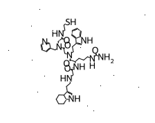 NC(=O)NCCCC(NC(=O)CNCCC1=CNC2CCCCC12)C(=O)N(CCc1c[nH]c2ccccc12)CC(=O)N(CC(=O)NCCS)Cc1cccnc1